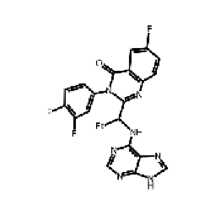 CCC(Nc1ncnc2[nH]cnc12)c1nc2ccc(F)cc2c(=O)n1-c1ccc(F)c(F)c1